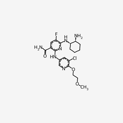 COCCOc1ncc(Nc2nc(N[C@@H]3CCCC[C@@H]3N)c(F)cc2C(N)=O)cc1Cl